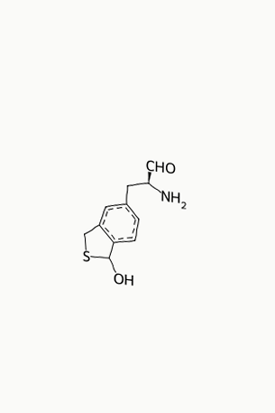 N[C@H](C=O)Cc1ccc2c(c1)CSC2O